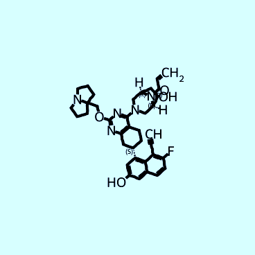 C#Cc1c(F)ccc2cc(O)cc([C@H]3CCc4c(nc(OCC56CCCN5CCC6)nc4N4C[C@H]5C[C@@H](O)[C@@H](C4)N5C(=O)C=C)C3)c12